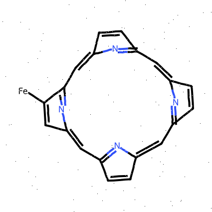 [Fe][C]1=CC2=CC3=NC(=CC4=NC(=CC5=NC(=CC1=N2)C=C5)C=C4)C=C3